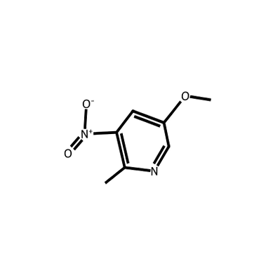 COc1cnc(C)c([N+](=O)[O-])c1